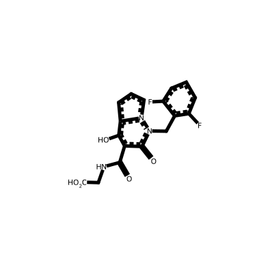 O=C(O)CNC(=O)c1c(O)c2cccn2n(Cc2c(F)cccc2F)c1=O